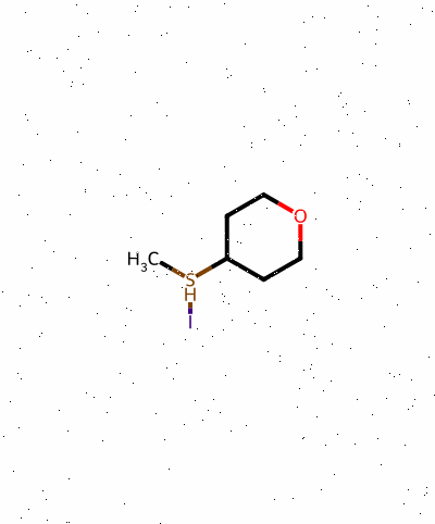 C[SH](I)C1CCOCC1